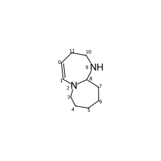 C1=CN2CCCCCC2NCC1